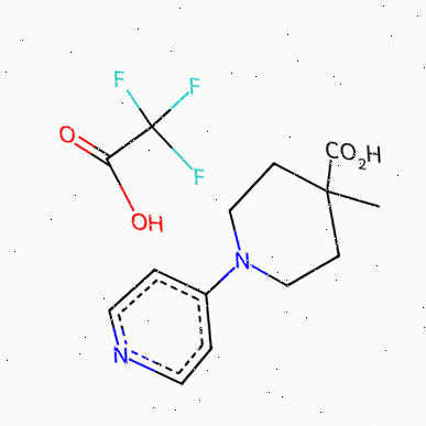 CC1(C(=O)O)CCN(c2ccncc2)CC1.O=C(O)C(F)(F)F